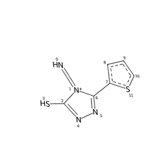 N=[N+]1C(S)=NN=C1c1cccs1